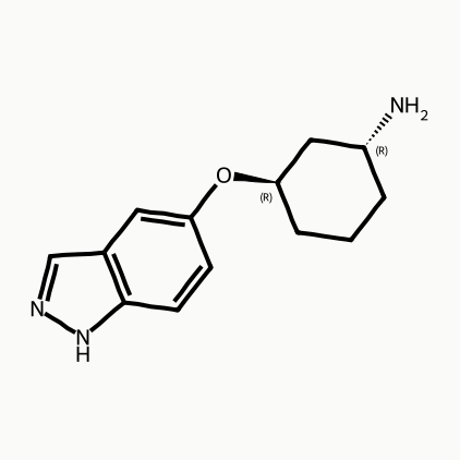 N[C@@H]1CCC[C@@H](Oc2ccc3[nH]ncc3c2)C1